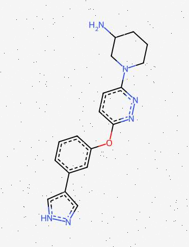 NC1CCCN(c2ccc(Oc3cccc(-c4cn[nH]c4)c3)nn2)C1